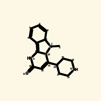 CN1C2C=CC=CC2=C2NC(=O)C=C(C3CCNCC3)N21